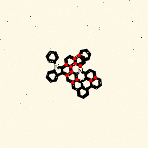 c1ccc(-c2cccc3cccc(-c4ccccc4N(c4ccccc4-c4ccc5c6ccccc6n(-c6ccccc6)c5c4)c4ccccc4-c4cccc5c4sc4ccccc45)c23)cc1